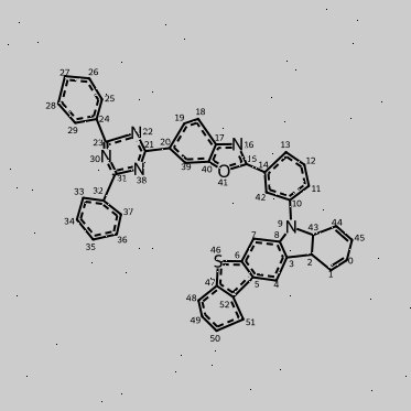 C1=CC2c3cc4c(cc3N(c3cccc(-c5nc6ccc(-c7nc(-c8ccccc8)nc(-c8ccccc8)n7)cc6o5)c3)C2C=C1)sc1ccccc14